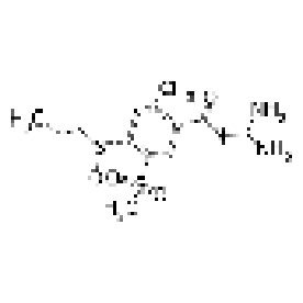 CCC[S+]([O-])c1cc(C)c(C(=O)N=C(N)N)cc1S(C)(=O)=O